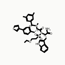 CCOCCS(=O)(=O)N(C(=O)[C@H](Cc1ccc(-c2ccsc2)cc1)N(C)C(=O)c1cc(C)cc(C)c1)[C@@H](Cc1c[nH]c2ccccc12)C(N)=O